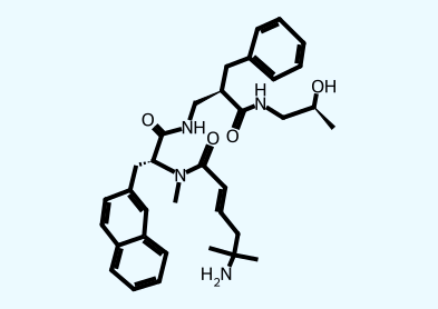 C[C@H](O)CNC(=O)[C@@H](CNC(=O)[C@@H](Cc1ccc2ccccc2c1)N(C)C(=O)/C=C/CC(C)(C)N)Cc1ccccc1